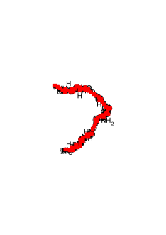 CN(C)CCNC(=O)c1ccc(-c2nc3ccc(-c4ccc5nc(-c6ccc(C(=O)NCCOCCOCc7cn(CCCNCC(=O)N8CCC[C@H]8C(=O)N8CCC[C@H]8C(=O)N(CCCn8cc(COCCOCCNC(=O)c9ccc(-c%10nc%11ccc(-c%12ccc%13nc(-c%14ccc(C(=O)NCCN(C)C)cc%14)[nH]c%13c%12)cc%11[nH]%10)cc9)nn8)CC(N)=O)nn7)cc6)[nH]c5c4)cc3[nH]2)cc1